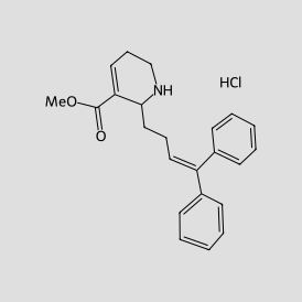 COC(=O)C1=CCCNC1CCC=C(c1ccccc1)c1ccccc1.Cl